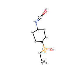 CC[PH](=O)C1CCC(N=C=O)CC1